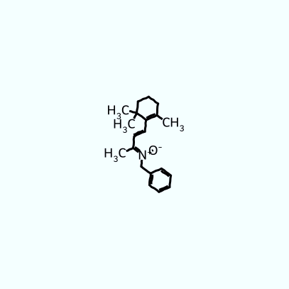 CC1=C(C=CC(C)=[N+]([O-])Cc2ccccc2)C(C)(C)CCC1